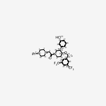 CC(C)N1CCN(CC(=O)N2CC[C@H](O[C@H](C)c3cc(C(F)(F)F)cc(C(F)(F)F)c3)[C@H](c3ccccc3)C2)CC1.Cl